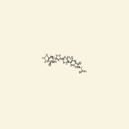 Cc1nc(C(=O)NCC(F)F)ccc1N1CCN(C2C=C(c3nc4c(c(=O)[nH]3)CCC4)CC2)CC1